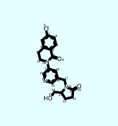 O=C1c2ccc(Cl)cc2CCN1c1cncc(CN2C(=O)CCC2CO)c1